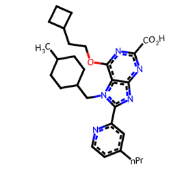 CCCc1ccnc(-c2nc3nc(C(=O)O)nc(OCCC4CCC4)c3n2CC2CCC(C)CC2)c1